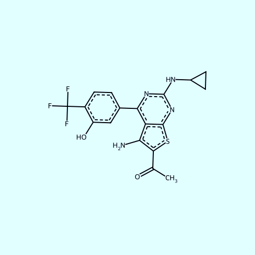 CC(=O)c1sc2nc(NC3CC3)nc(-c3ccc(C(F)(F)F)c(O)c3)c2c1N